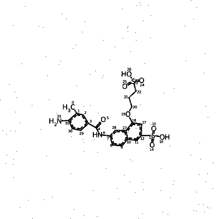 Cc1cc(C(=O)Nc2ccc3cc(S(=O)(=O)O)cc(OCCCS(=O)(=O)O)c3c2)ccc1N